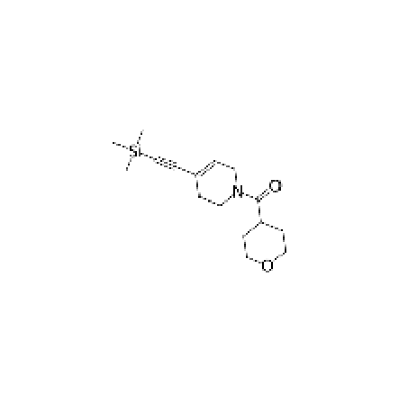 C[Si](C)(C)C#CC1=CCN(C(=O)C2CCOCC2)CC1